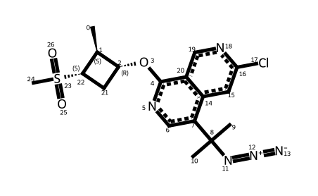 C[C@H]1[C@H](Oc2ncc(C(C)(C)N=[N+]=[N-])c3cc(Cl)ncc23)C[C@@H]1S(C)(=O)=O